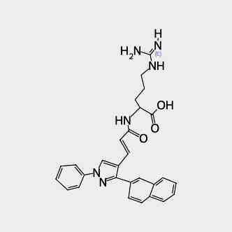 [H]/N=C(\N)NCCCC(NC(=O)C=Cc1cn(-c2ccccc2)nc1-c1ccc2ccccc2c1)C(=O)O